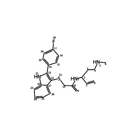 C=CC(CCNC)NC(=C)CSc1c(-c2ccc(F)cc2)[nH]c2ccccc12